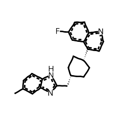 Cc1ccc2[nH]c(C[C@H]3CC[C@@H](c4ccnc5ccc(F)cc54)CC3)nc2c1